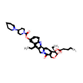 CCCCC(=O)O[C@]1(CC)C(=O)OCc2c1cc1n(c2=O)Cc2c-1nc1ccc(OC(=O)N3CCC(N4CCCCC4)CC3)cc1c2CC